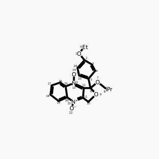 CCOc1ccc(C2(OC(C)C)OCc3c2[n+]([O-])c2ccccc2[n+]3[O-])cc1